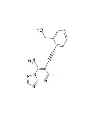 Cc1nc2ncnn2c(N)c1C#Cc1ccccc1CO